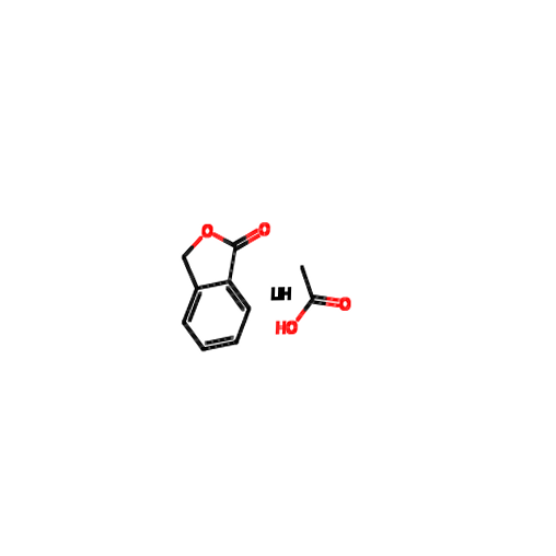 CC(=O)O.O=C1OCc2ccccc21.[LiH]